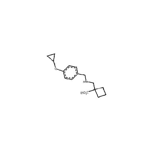 CCOC(=O)C1(CNCc2ccc(OC3CC3)cc2)CCC1